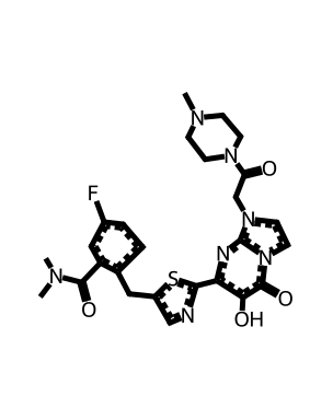 CN1CCN(C(=O)Cn2ccn3c(=O)c(O)c(-c4ncc(Cc5ccc(F)cc5C(=O)N(C)C)s4)nc23)CC1